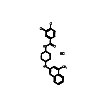 Cc1cc(NC2CCC(NC(=O)c3ccc(Cl)c(Cl)c3)CC2)nc2ccccc12.Cl